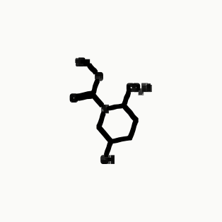 CCOC(=O)C1CCC(O)CN1C(=O)OC(C)(C)C